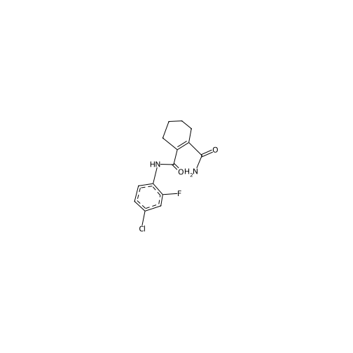 NC(=O)C1=C(C(=O)Nc2ccc(Cl)cc2F)CCCC1